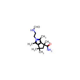 Cc1c2c(c(C)n1CCNC=O)C(C)(C(N)=O)CC2(C)C